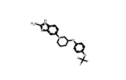 Nc1nc2cc(N3CCCC(Oc4ccc(OC(F)(F)F)cc4)C3)ccc2[nH]1